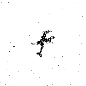 CCCCCCNC(=O)c1ccc2c(c1)C(C)(C)c1c3c(c4cc(OC)c(N5CCCC(CO)C5)cc4c1-2)OC(c1ccc(OC)cc1)(c1ccc(OCCOCCC[Si](C)(O[Si](C)(C)C)O[Si](C)(C)C)cc1)C=C3